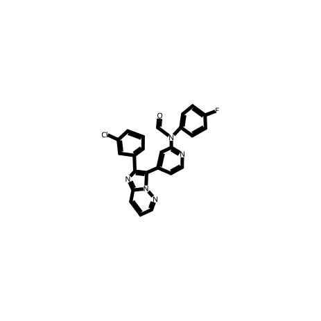 O=CN(c1ccc(F)cc1)c1cc(-c2c(-c3cccc(Cl)c3)nc3cccnn23)ccn1